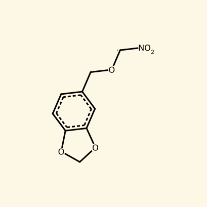 O=[N+]([O-])[CH]OCc1ccc2c(c1)OCO2